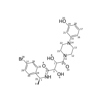 C[C@H](NC(=O)C(O)C(O)C(=O)N1CCN(c2cccc(O)c2)CC1)c1ccc(Br)cc1